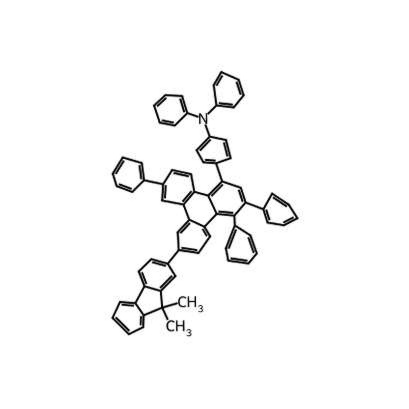 CC1(C)c2ccccc2-c2ccc(-c3ccc4c(c3)c3cc(-c5ccccc5)ccc3c3c(-c5ccc(N(c6ccccc6)c6ccccc6)cc5)cc(-c5ccccc5)c(-c5ccccc5)c43)cc21